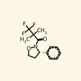 CC(C)(C(=O)N1OCC[C@H]1c1ccccc1)C(F)(F)F